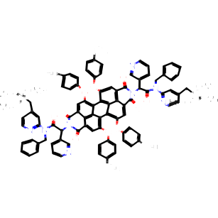 CO[Si](Cc1ccnc(N(Cc2ccccc2)C(=O)C(c2cccnc2)N2C(=O)c3cc(Oc4ccc(C(C)(C)C)cc4)c4c5c(Oc6ccc(C(C)(C)C)cc6)cc6c7c(cc(Oc8ccc(C(C)(C)C)cc8)c(c8c(Oc9ccc(C(C)(C)C)cc9)cc(c3c48)C2=O)c75)C(=O)N(C(C(=O)N(Cc2ccccc2)c2cc(C[Si](OC)(OC)OC)ccn2)c2cccnc2)C6=O)c1)(OC)OC